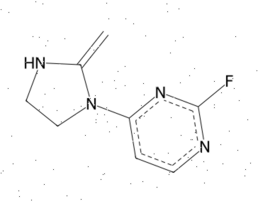 C=C1NCCN1c1ccnc(F)n1